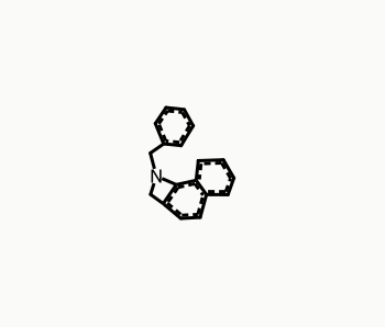 c1ccc(CN2Cc3ccc4ccccc4c32)cc1